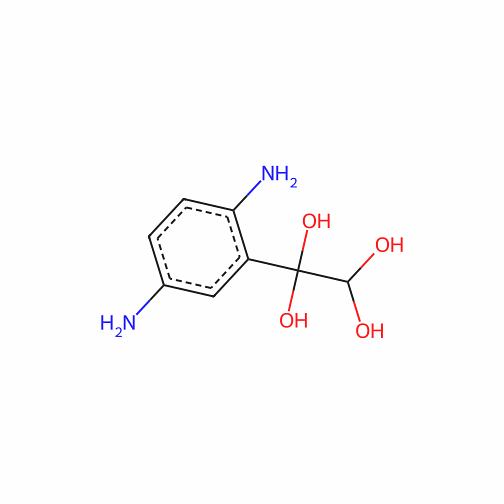 Nc1ccc(N)c(C(O)(O)C(O)O)c1